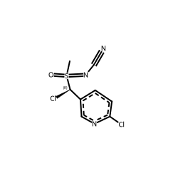 CS(=O)(=NC#N)[C@H](Cl)c1ccc(Cl)nc1